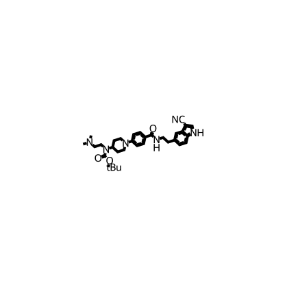 CN(C)CCN(C(=O)OC(C)(C)C)C1CCN(c2ccc(C(=O)NCCc3ccc4[nH]cc(C#N)c4c3)cc2)CC1